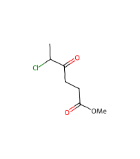 COC(=O)CCC(=O)C(C)Cl